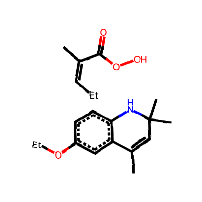 CCC=C(C)C(=O)OO.CCOc1ccc2c(c1)C(C)=CC(C)(C)N2